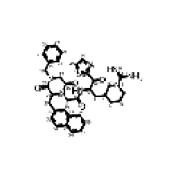 N=C(N)N1CCCC(CC(NC(=O)CN2C(=O)CN(Cc3ccccc3)C(=O)C2Cc2ccc3ccccc3c2)C(=O)c2nccs2)C1